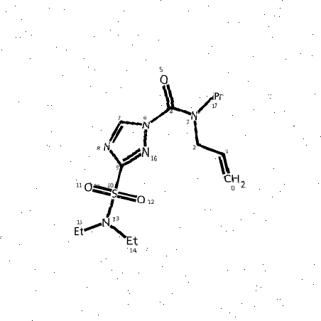 C=CCN(C(=O)n1cnc(S(=O)(=O)N(CC)CC)n1)C(C)C